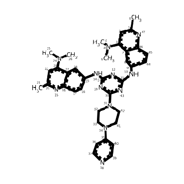 Cc1cc(N(C)C)c2cc(Nc3nc(Nc4ccc5nc(C)cc(N(C)C)c5c4)nc(N4CCN(c5ccncc5)CC4)n3)ccc2n1